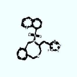 O=S(=O)(c1cccc2cccnc12)N1Cc2ccccc2COCC1Cc1nnn[nH]1